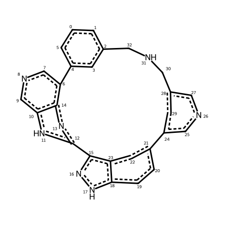 c1cc2cc(c1)-c1cncc3[nH]c(nc13)-c1n[nH]c3ccc(cc13)-c1cncc(c1)CNC2